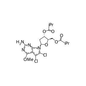 COc1nc(N)nc2c1c(Cl)c(Cl)n2[C@H]1C[C@H](OC(=O)C(C)C)[C@@H](COC(=O)C(C)C)O1